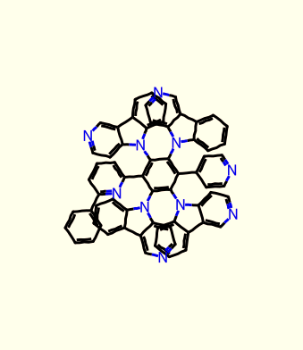 c1ccc(-c2cccc(-c3c(-n4c5ccccc5c5cnccc54)c(-n4c5ccccc5c5cnccc54)c(-c4ccncc4)c(-n4c5ccccc5c5cnccc54)c3-n3c4ccccc4c4cnccc43)n2)cc1